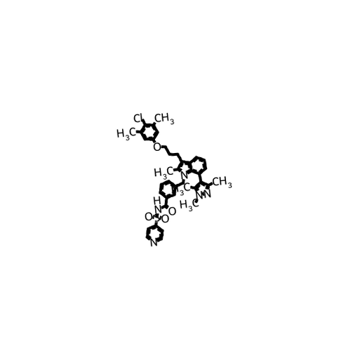 Cc1cc(OCCCc2c(C)n(Cc3cccc(C(=O)NS(=O)(=O)c4ccncc4)c3)c3c(-c4c(C)nn(C)c4C)cccc23)cc(C)c1Cl